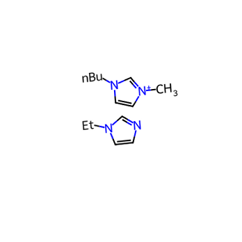 CCCCn1cc[n+](C)c1.CCn1ccnc1